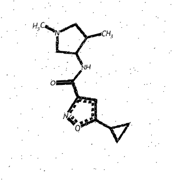 CC1CN(C)CC1NC(=O)c1cc(C2CC2)on1